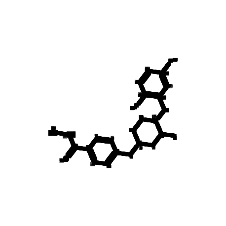 CC1CN(Cc2ccc(C(=O)NO)cc2)CCN1Cc1cc(F)ccc1F